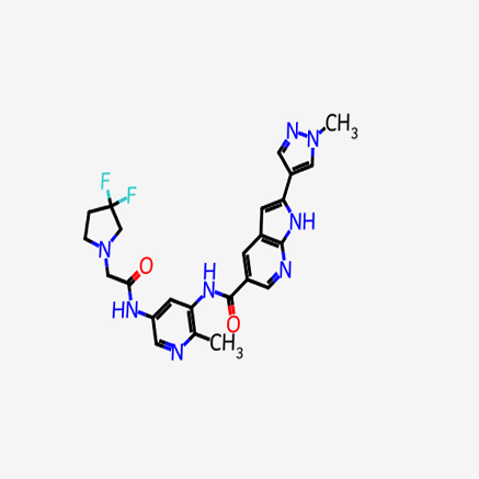 Cc1ncc(NC(=O)CN2CCC(F)(F)C2)cc1NC(=O)c1cnc2[nH]c(-c3cnn(C)c3)cc2c1